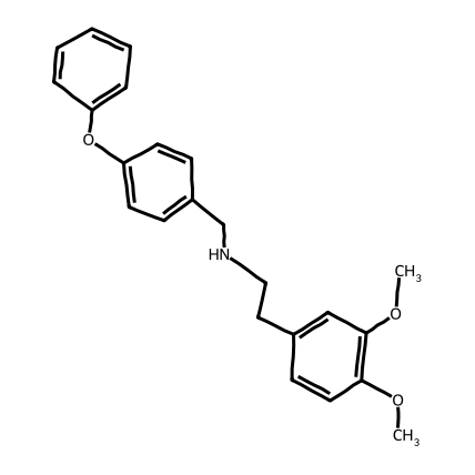 COc1ccc(CCNCc2ccc(Oc3ccccc3)cc2)cc1OC